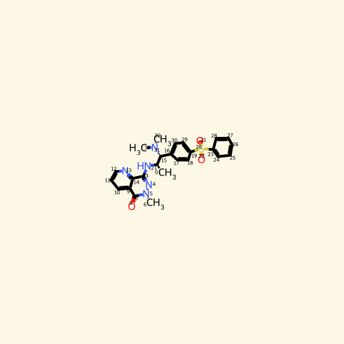 C[C@@H](Nc1nn(C)c(=O)c2cccnc12)[C@@H](c1ccc(S(=O)(=O)c2ccccc2)cc1)N(C)C